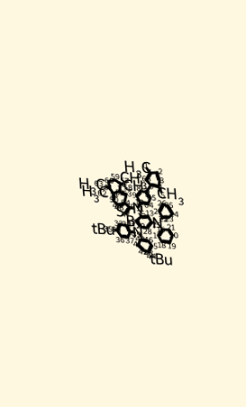 Cc1ccc(C)c(-c2ccc(N3c4cc(N(c5ccccc5)c5ccccc5)cc5c4B(c4cc(C(C)(C)C)ccc4N5c4ccc(C(C)(C)C)cc4)c4sc5cc6c(cc5c43)C(C)(C)CCC6(C)C)cc2)c1